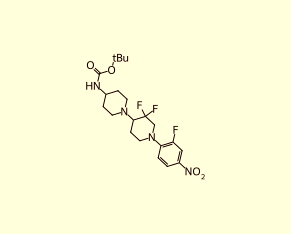 CC(C)(C)OC(=O)NC1CCN(C2CCN(c3ccc([N+](=O)[O-])cc3F)CC2(F)F)CC1